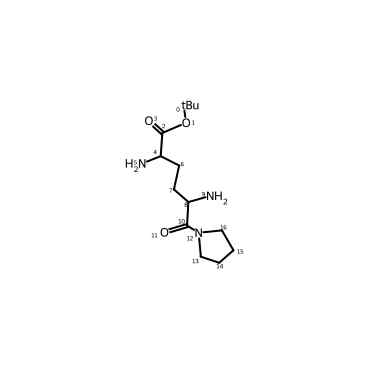 CC(C)(C)OC(=O)C(N)CCC(N)C(=O)N1CCCC1